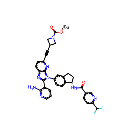 CC(C)(C)OC(=O)N1CC(C#Cc2ccc3nc(-c4cccnc4N)n(-c4ccc5c(c4)CC[C@@H]5NC(=O)c4ccc(C(F)F)nc4)c3n2)C1